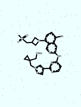 COCC1(Cn2cc(-c3nccc(Nc4cc5c(C(C)C)ccc(N6CC(CS(C)(=O)=O)C6)c5cn4)n3)cn2)CC1